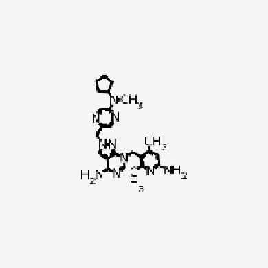 Cc1cc(N)nc(C)c1CN1C=NC(N)c2cn(Cc3cnc(N(C)C4CCCC4)cn3)nc21